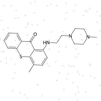 Cc1ccc(NCCN2CCN(C)CC2)c2c(=O)c3ccccc3sc12